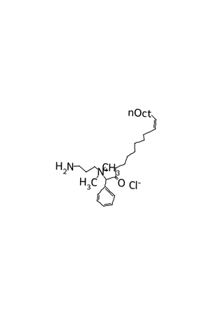 CCCCCCCC/C=C\CCCCCCCC(=O)C(c1ccccc1)[N+](C)(C)CCCN.[Cl-]